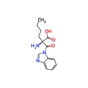 CCCC[C@](N)(C(=O)O)C(=O)n1cnc2ccccc21